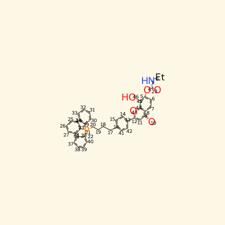 CCNC(=O)Oc1ccc2c(=O)cc(-c3ccc(CCCCP(C)(c4ccccc4)(c4ccccc4)c4ccccc4)cc3)oc2c1O